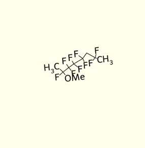 COC(C)(F)C(F)(F)C(F)(F)C(F)(F)CC(C)(F)F